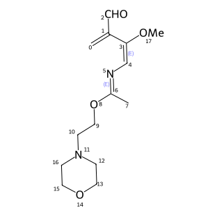 C=C(C=O)/C(=C\N=C(/C)OCCN1CCOCC1)OC